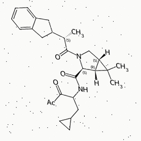 CC(=O)C(=O)C(CC1CC1)NC(=O)[C@@H]1[C@@H]2[C@H](CN1C(=O)[C@@H](C)C1Cc3ccccc3C1)C2(C)C